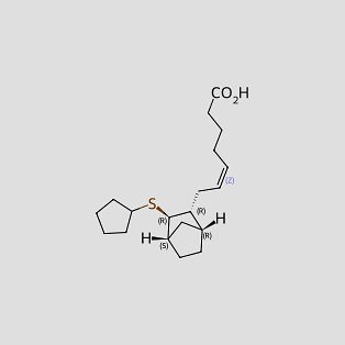 O=C(O)CCC/C=C\C[C@@H]1[C@@H]2CC[C@@H](C2)[C@H]1SC1CCCC1